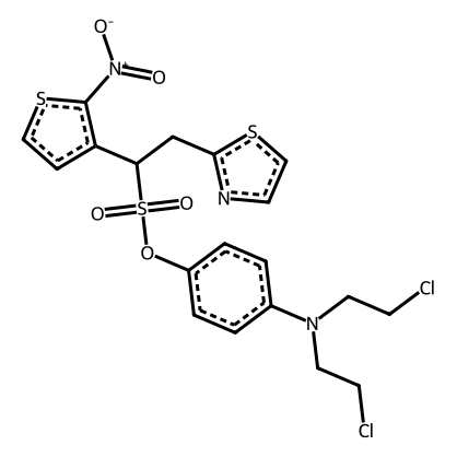 O=[N+]([O-])c1sccc1C(Cc1nccs1)S(=O)(=O)Oc1ccc(N(CCCl)CCCl)cc1